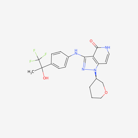 CC(O)(c1ccc(Nc2nn([C@@H]3CCCOC3)c3cc[nH]c(=O)c23)cc1)C(F)(F)F